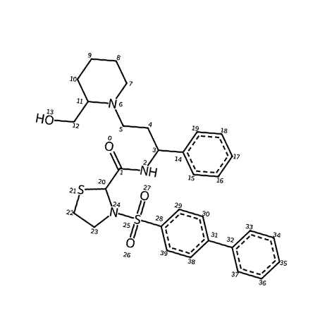 O=C(NC(CCN1CCCCC1CO)c1ccccc1)C1SCCN1S(=O)(=O)c1ccc(-c2ccccc2)cc1